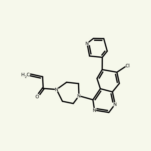 C=CC(=O)N1CCN(c2ncnc3cc(Cl)c(-c4cccnc4)cc23)CC1